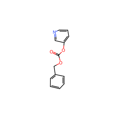 O=C(OCc1ccccc1)Oc1cccnc1